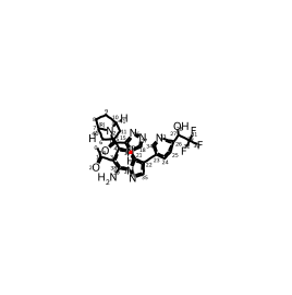 CC(=O)c1c(C2C[C@H]3CC[C@@H](C2)N3C(=O)c2nnc[nH]2)nc2c(-c3ccc(C(O)C(F)(F)F)nc3)cnn2c1N